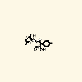 Cc1cnc(C)c(NNC(=O)C(C2CCC(C)CC2)N(O)C=O)n1